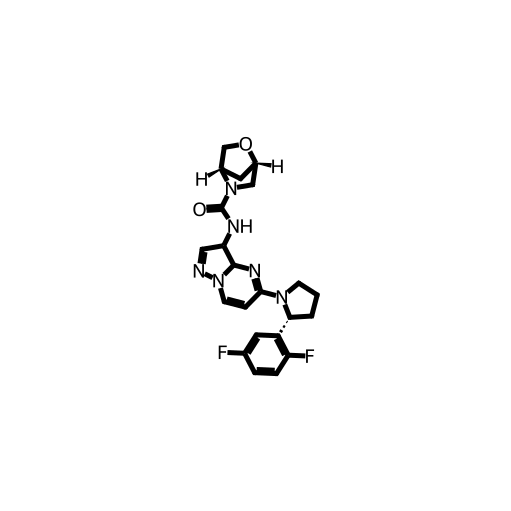 O=C(NC1C=NN2C=CC(N3CCC[C@@H]3c3cc(F)ccc3F)=NC12)N1C[C@@H]2C[C@H]1CO2